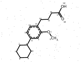 COc1cc(C2CCCCC2)ccc1CCCC(=O)O